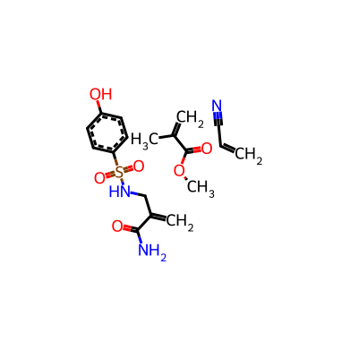 C=C(C)C(=O)OC.C=C(CNS(=O)(=O)c1ccc(O)cc1)C(N)=O.C=CC#N